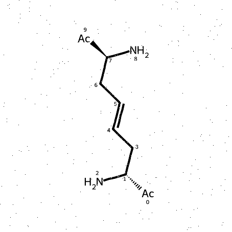 CC(=O)[C@H](N)C/C=C/C[C@H](N)C(C)=O